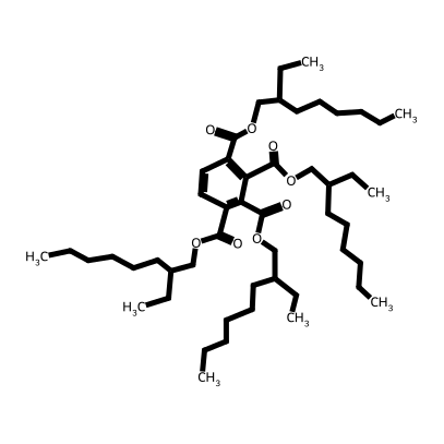 CCCCCCC(CC)COC(=O)c1ccc(C(=O)OCC(CC)CCCCCC)c(C(=O)OCC(CC)CCCCCC)c1C(=O)OCC(CC)CCCCCC